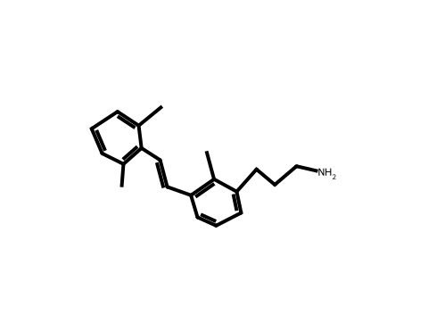 Cc1cccc(C)c1C=Cc1cccc(CCCN)c1C